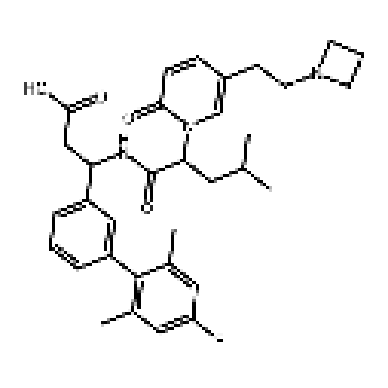 Cc1cc(F)cc(C)c1-c1cccc(C(CC(=O)O)NC(=O)C(CC(C)C)n2cc(CCN3CCC3)ccc2=O)c1